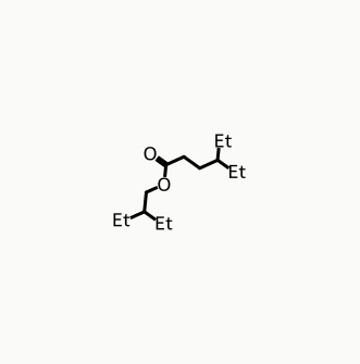 CCC(CC)CCC(=O)OCC(CC)CC